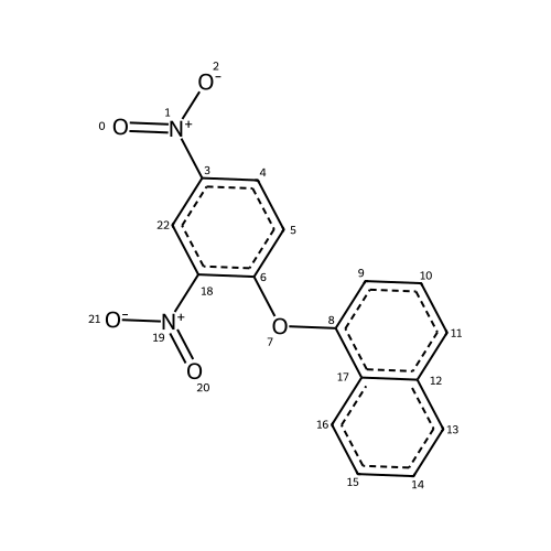 O=[N+]([O-])c1ccc(Oc2cccc3ccccc23)c([N+](=O)[O-])c1